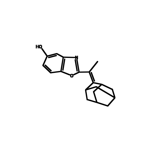 CC(=C1C2CC3CC(C2)CC1C3)c1nc2cc(O)ccc2o1